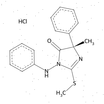 CSC1=N[C@@](C)(c2ccccc2)C(=O)N1Nc1ccccc1.Cl